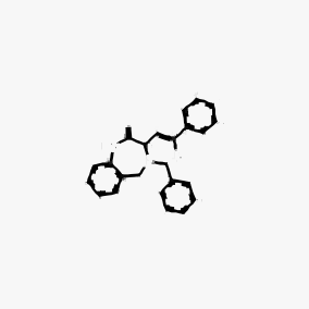 O=C1Nc2ccccc2CN(Cc2ccccc2)C1C=C(Br)c1ccccc1